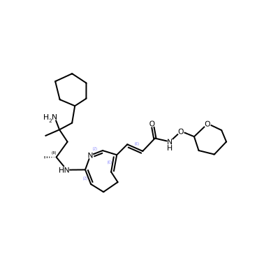 C[C@H](CC(C)(N)CC1CCCCC1)NC1=C/CC/C=C(\C=C\C(=O)NOC2CCCCO2)/C=N\1